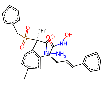 CCC[C@](C(=O)NN)(c1ccc(C)cc1[C@H](C/C=C/c1ccccc1)C(=O)NO)S(=O)(=O)Cc1ccccc1